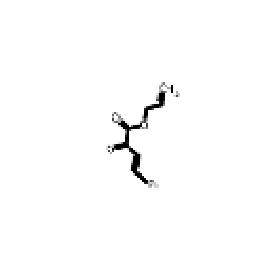 C=CCOC(=O)C(=O)C=CC(C)C